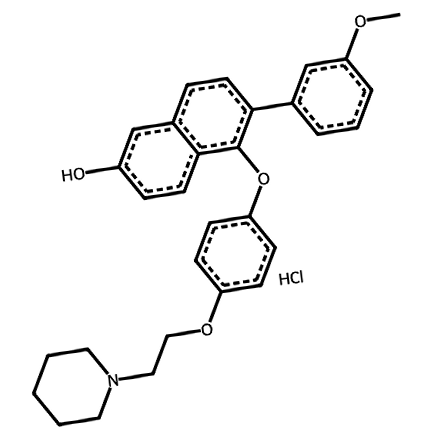 COc1cccc(-c2ccc3cc(O)ccc3c2Oc2ccc(OCCN3CCCCC3)cc2)c1.Cl